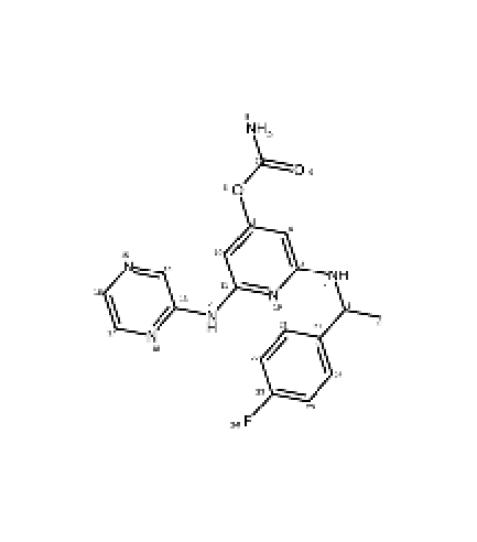 CC(Nc1cc(OC(N)=O)cc(Nc2cnccn2)n1)c1ccc(F)cc1